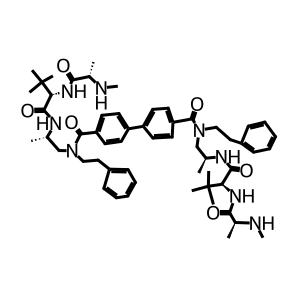 CN[C@@H](C)C(=O)N[C@H](C(=O)N[C@@H](C)CN(CCc1ccccc1)C(=O)c1ccc(-c2ccc(C(=O)N(CCc3ccccc3)C[C@H](C)NC(=O)[C@@H](NC(=O)[C@H](C)NC)C(C)(C)C)cc2)cc1)C(C)(C)C